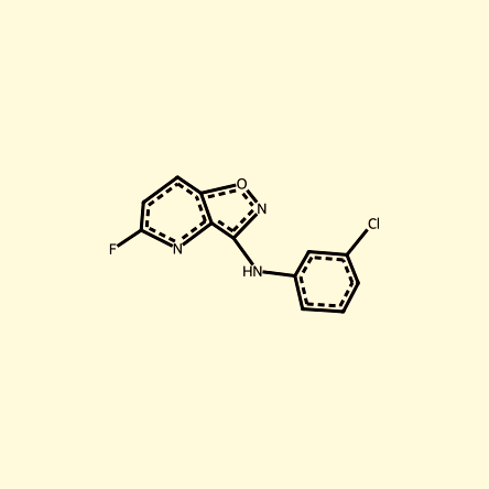 Fc1ccc2onc(Nc3cccc(Cl)c3)c2n1